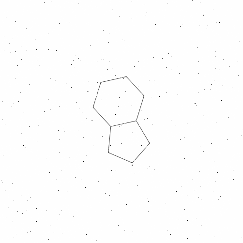 [CH]1CCC2C[CH]CC2C1